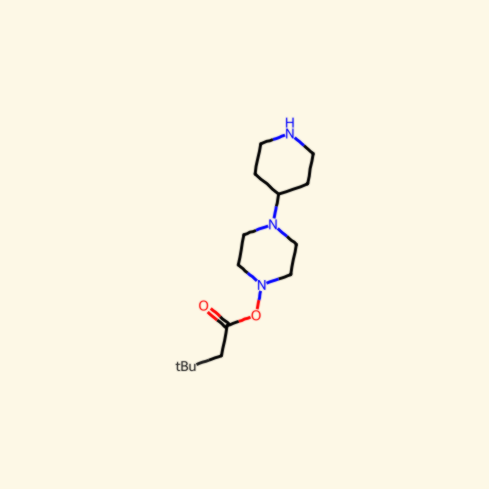 CC(C)(C)CC(=O)ON1CCN(C2CCNCC2)CC1